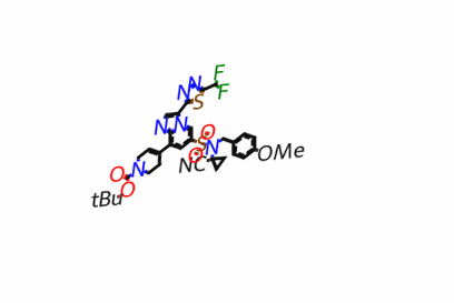 COc1ccc(CN(C2(C#N)CC2)S(=O)(=O)c2cc(C3=CCN(C(=O)OC(C)(C)C)CC3)c3ncc(-c4nnc(C(F)F)s4)n3c2)cc1